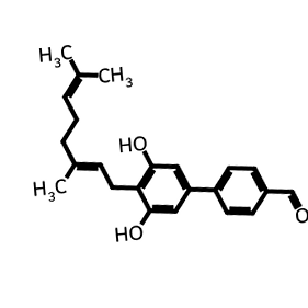 CC(C)=CCC/C(C)=C/Cc1c(O)cc(-c2ccc(C=O)cc2)cc1O